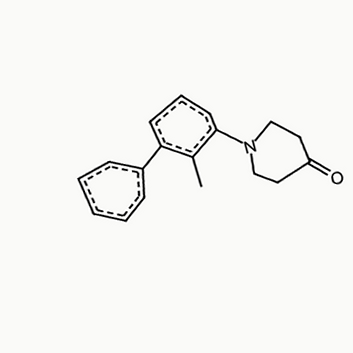 Cc1c(-c2ccccc2)cccc1N1CCC(=O)CC1